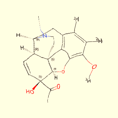 [2H]Oc1c([2H])c([2H])c2c3c1O[C@@H]1[C@]34CCN(C)[C@H](C2)[C@@H]4C=C[C@@]1(O)C(C)=O